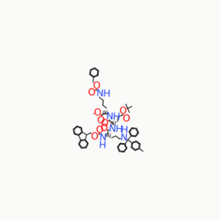 COC(=O)[C@H](CCCCNC(=O)OCc1ccccc1)NC(=O)[C@H](CCC(=O)OC(C)(C)C)NC(=O)[C@H](CCCNC(c1ccccc1)(c1ccccc1)c1ccc(C)cc1)NC(=O)OCC1c2ccccc2-c2ccccc21